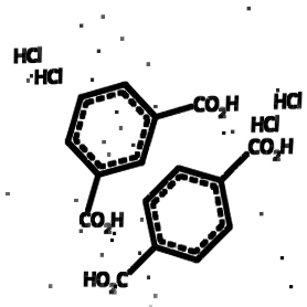 Cl.Cl.Cl.Cl.O=C(O)c1ccc(C(=O)O)cc1.O=C(O)c1cccc(C(=O)O)c1